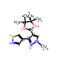 Cn1cc(B2OC(C)(C)C(C)(C)O2)c(-c2cnsc2)n1